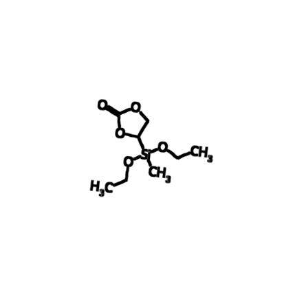 CCO[Si](C)(OCC)C1COC(=O)O1